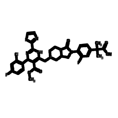 COC(=O)C1=C(CN2CCN3C(=O)N(c4ccc(C(C)(C)C(=O)O)cc4F)CC3C2)NC(c2nccs2)=NC1c1ccc(F)cc1Cl